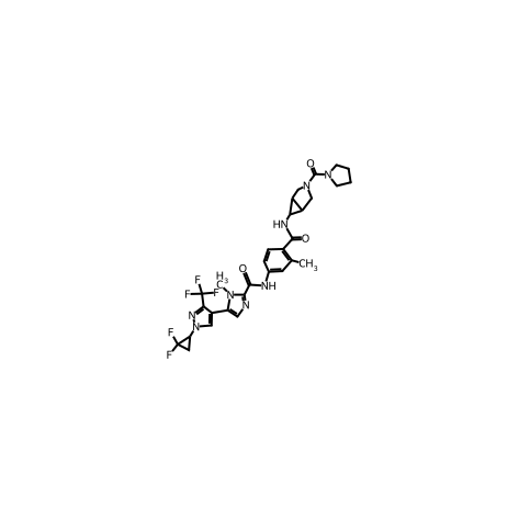 Cc1cc(NC(=O)c2ncc(-c3cn(C4CC4(F)F)nc3C(F)(F)F)n2C)ccc1C(=O)NC1C2CN(C(=O)N3CCCC3)CC21